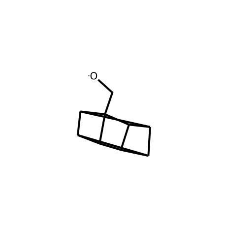 [O]CC12C3C4C5C3C1C5C42